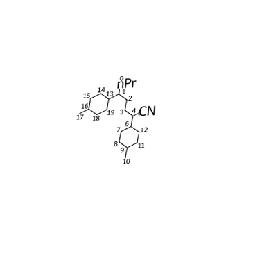 CCCC(CCC(C#N)C1CCC(C)CC1)C1CCC(C)CC1